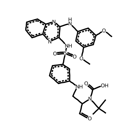 COc1cc(Nc2nc3ccccc3nc2NS(=O)(=O)c2cccc(NCC(C=O)N(C(=O)O)C(C)(C)C)c2)cc(OC)c1